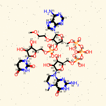 COCCOC1C(OP(=O)(O)OC[C@H]2O[C@@H](n3ccc(=O)[nH]c3=O)C(O)C2O)[C@@H](COP(=O)(O)OP(=O)(O)OP(=O)(O)OC[C@H]2O[C@@H](N3C=CN(C)c4c3nc(N)[nH]c4=O)C(O)C2O)O[C@H]1n1cnc2c(N)ncnc21